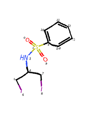 O=S(=O)(NC(CI)CI)c1ccccc1